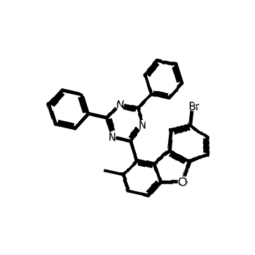 CC1CC=c2oc3ccc(Br)cc3c2=C1c1nc(-c2ccccc2)nc(-c2ccccc2)n1